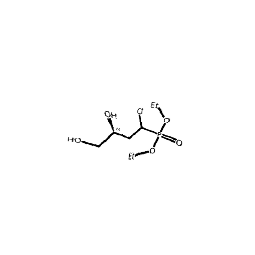 CCOP(=O)(OCC)C(Cl)C[C@H](O)CO